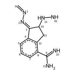 C=NN=C1c2cccc(C(=N)N)c2CC1N[NH]